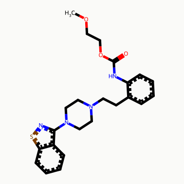 COCCOC(=O)Nc1ccccc1CCN1CCN(c2nsc3ccccc23)CC1